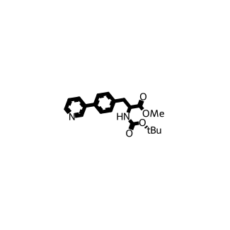 COC(=O)C(Cc1ccc(-c2cccnc2)cc1)NC(=O)OC(C)(C)C